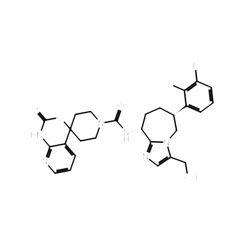 O=C1Nc2ncccc2C2(CCN(C(=O)N[C@@H]3CC[C@@H](c4cccc(F)c4F)Cn4c(CO)cnc43)CC2)O1